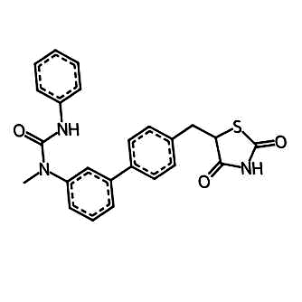 CN(C(=O)Nc1ccccc1)c1cccc(-c2ccc(CC3SC(=O)NC3=O)cc2)c1